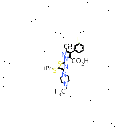 Cc1nn(-c2nc(N3CCN(CC(F)(F)F)CC3)c(SC(C)C)s2)c(C(=O)O)c1-c1cccc(F)c1